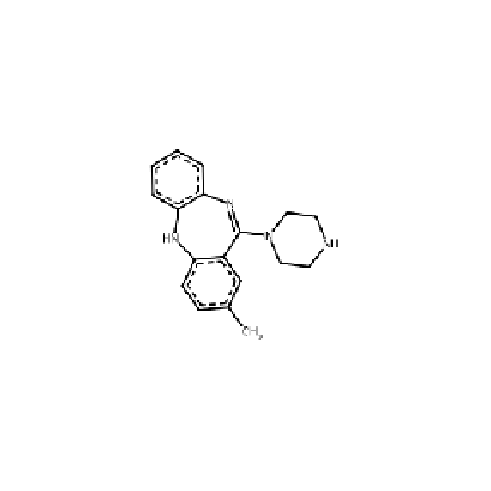 Cc1ccc2c(c1)C(N1CCNCC1)=Nc1ccccc1N2